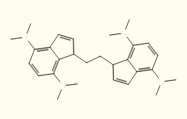 CN(C)c1ccc(N(C)C)c2c1C=CC2CCC1C=Cc2c(N(C)C)ccc(N(C)C)c21